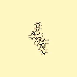 c1cc(-c2c3ccccc3c(-c3ccc4ccccc4c3)c3ccccc23)c2c(c1)-n1c(-c3ccc4ccccc4c3)nc3cccc(c31)O2